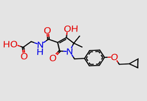 CC1(C)C(O)=C(C(=O)NCC(=O)O)C(=O)N1Cc1ccc(OCC2CC2)cc1